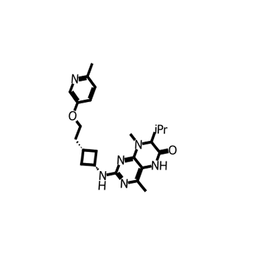 Cc1ccc(OCC[C@H]2C[C@@H](Nc3nc(C)c4c(n3)N(C)C(C(C)C)C(=O)N4)C2)cn1